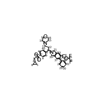 O=S(=O)(CC1CC1)c1ccc(C(CCN2CCOCC2)N2Cc3cc(Cl)c(-c4ccccc4OC(F)F)cc3C2)cc1